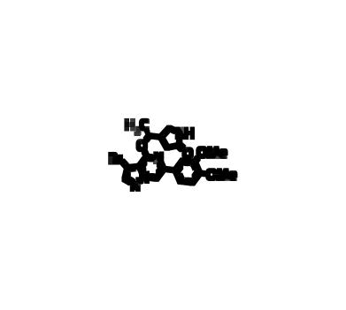 COc1ccc(-c2cn3ncc(Br)c3c(O[C@H](C)C3CNC(=O)C3)n2)cc1OC